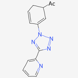 CC(=O)C1C=C(n2nnc(-c3ccccn3)n2)C=CC1